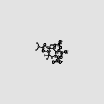 CC(C)C(=O)ON1C(C)(C)CC(O[N+](=O)[O-])C(O[N+](=O)[O-])C(O[N+](=O)[O-])C1(C)C